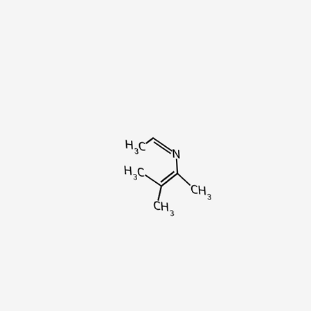 C/C=N\C(C)=C(C)C